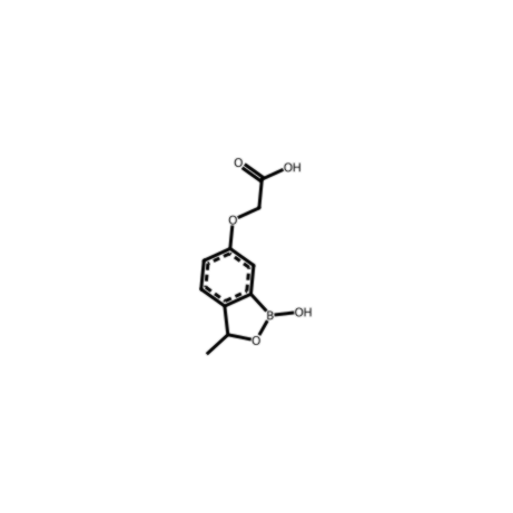 CC1OB(O)c2cc(OCC(=O)O)ccc21